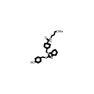 COCCCNC(=O)c1ccc(Cn2c(SCc3ccc(C#N)cc3)nc3ccccc32)cc1